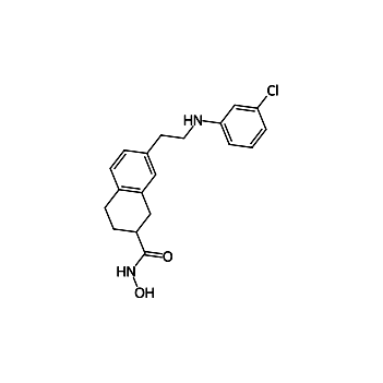 O=C(NO)C1CCc2ccc(CCNc3cccc(Cl)c3)cc2C1